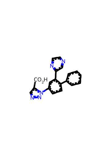 O=C(O)c1cnnn1-c1ccc(-c2ccccc2)c(-c2cnccn2)c1